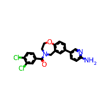 Nc1ccc(-c2ccc3c(c2)CN(C(=O)c2ccc(Cl)c(Cl)c2)CCO3)cn1